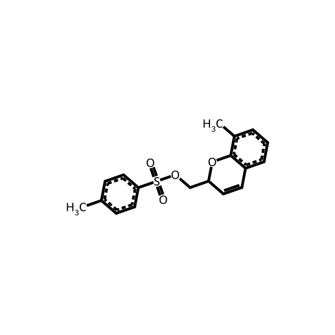 Cc1ccc(S(=O)(=O)OCC2C=Cc3cccc(C)c3O2)cc1